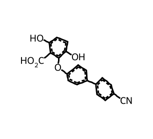 N#Cc1ccc(-c2ccc(Oc3c(O)ccc(O)c3C(=O)O)cc2)cc1